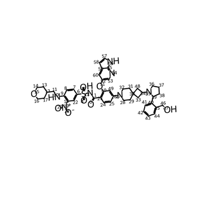 O=C(NS(=O)(=O)c1ccc(NCC2CCOCC2)c([N+](=O)[O-])c1)c1ccc(N2CCC3(CC2)CC(N2CCCC2c2ccccc2CO)C3)cc1Oc1cnc2[nH]ccc2c1